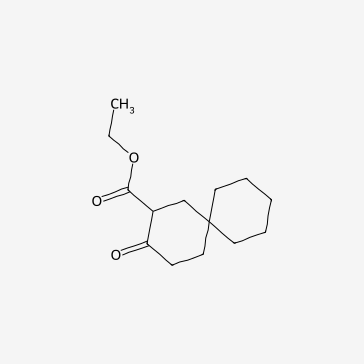 CCOC(=O)C1CC2(CCCCC2)CCC1=O